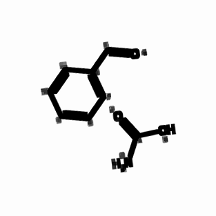 NC(=O)O.O=Cc1ccccc1